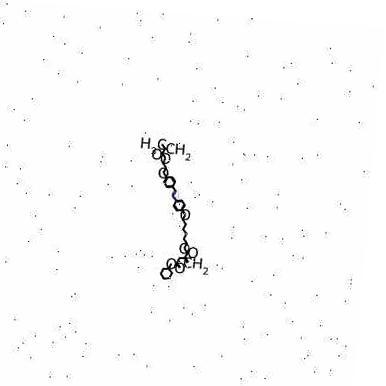 C=C(C)C(=O)OCCOc1ccc(/C=C/c2ccc(OCCCCCCOC(=O)C(=C)CC(=O)OC3CCCCC3)cc2)cc1